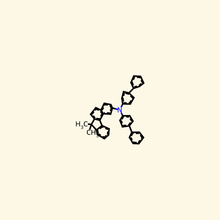 CC1(C)c2ccccc2-c2c1ccc1ccc(N(c3ccc(-c4ccccc4)cc3)c3ccc(-c4ccccc4)cc3)cc21